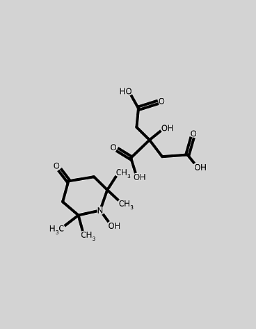 CC1(C)CC(=O)CC(C)(C)N1O.O=C(O)CC(O)(CC(=O)O)C(=O)O